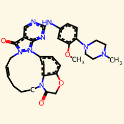 COc1cc(Nc2ncc3c(=O)n4n(c3n2)-c2ccc3c(c2)N(CCC/C=C\C4)C(=O)CO3)ccc1N1CCN(C)CC1